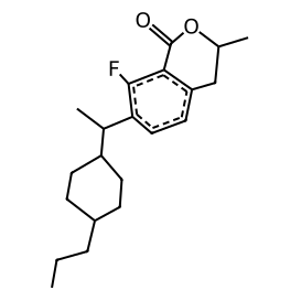 CCCC1CCC(C(C)c2ccc3c(c2F)C(=O)OC(C)C3)CC1